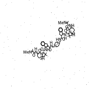 CN[C@@H](C)C(=O)N[C@H]1CCS[C@H]2CC(C)(C)[C@@H](C(=O)N[C@H]3c4ccccc4CC3C(=O)NCN3CCN(CNC(=O)[C@@H]4Cc5ccccc5[C@@H]4NC(=O)[C@H]4N5C(=O)[C@@H](NC(=O)[C@H](C)NC)CCS[C@H]5CC4(C)C)CC3)N2C1=O